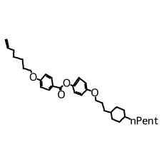 C=CCCCCCOc1ccc(C(=O)Oc2ccc(OCCCC3CCC(CCCCC)CC3)cc2)cc1